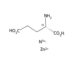 N[C@@H](CCC(=O)O)C(=O)O.[N+3].[Zn+2]